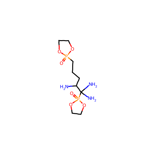 NC(CCCP1(=O)OCCO1)C(N)(N)P1(=O)OCCO1